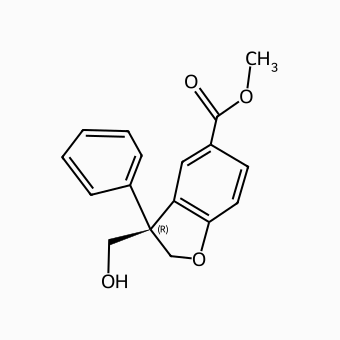 COC(=O)c1ccc2c(c1)[C@@](CO)(c1ccccc1)CO2